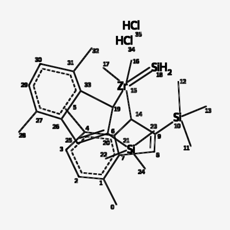 Cc1ccc(C)c2c1C=C([Si](C)(C)C)[CH]2[Zr]([CH3])([CH3])(=[SiH2])[CH]1C([Si](C)(C)C)=Cc2c(C)ccc(C)c21.Cl.Cl